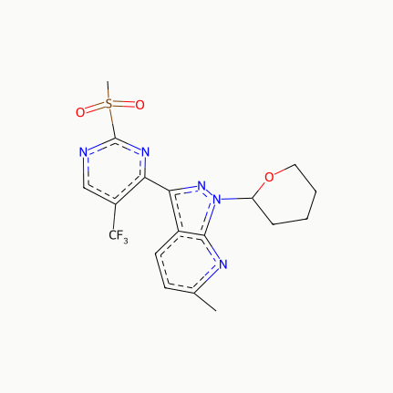 Cc1ccc2c(-c3nc(S(C)(=O)=O)ncc3C(F)(F)F)nn(C3CCCCO3)c2n1